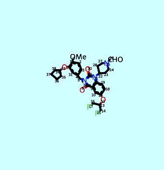 COc1ccc(Cn2c(=O)c3cc(OC(CF)CF)ccc3n(C3CCN(C=O)CC3)c2=O)cc1OC1CCCC1